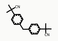 CC(C)(C#N)c1ccc(Cc2ccc(C(C)(C)C#N)cc2)cc1